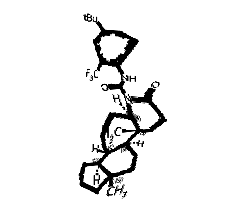 CC(C)(C)c1ccc(NC(=O)N2C(=O)C=C[C@]3(C)[C@H]4CC[C@]5(C)CCC[C@H]5[C@@H]4CC[C@@H]23)c(C(F)(F)F)c1